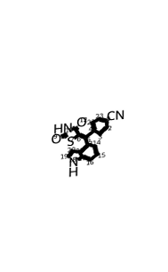 N#Cc1ccc(C(=C2SC(=O)NC2=O)c2cccc3[nH]ccc23)cc1